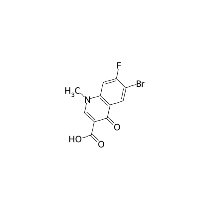 Cn1cc(C(=O)O)c(=O)c2cc(Br)c(F)cc21